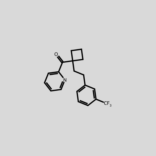 O=C(c1ccccn1)C1(CCc2cccc(C(F)(F)F)c2)CCC1